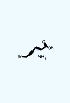 N.O=C(O)/C=C/C#CCBr